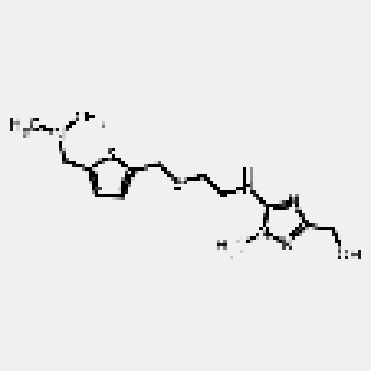 CN(C)Cc1ccc(CSCCNc2nc(CO)nn2C)s1